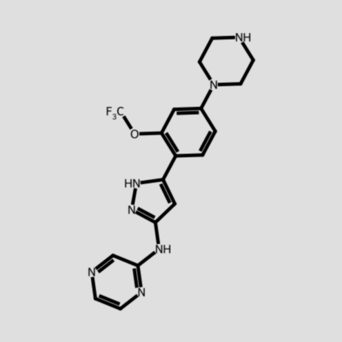 FC(F)(F)Oc1cc(N2CCNCC2)ccc1-c1cc(Nc2cnccn2)n[nH]1